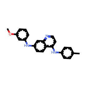 COc1cccc(Nc2ccc3c(Nc4ccc(C)cc4)ccnc3c2)c1